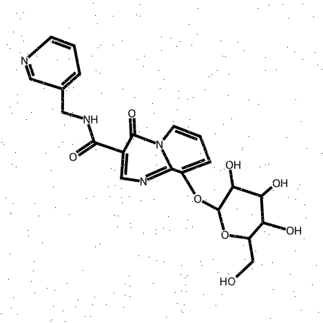 O=C(NCc1cccnc1)c1cnc2c(OC3OC(CO)C(O)C(O)C3O)cccn2c1=O